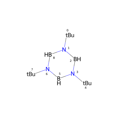 CC(C)(C)N1BN(C(C)(C)C)BN(C(C)(C)C)B1